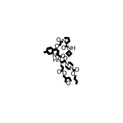 CCCCOC(=O)N1CCN(C(=O)[C@H](CCC(=O)OCC2CCOC2)NC(=O)c2cc(OCC(=O)N3CCC[C@H]3C(=O)NC3CCC3)c3ccc(C)cc3n2)CC1